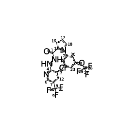 O=C(NNc1ncc(C(F)(F)F)cc1Cl)c1cccn1-c1cccc(OC(F)(F)F)c1